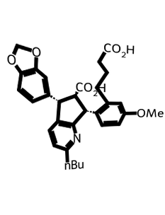 CCCCc1ccc2c(n1)[C@@H](c1ccc(OC)cc1CCCC(=O)O)[C@H](C(=O)O)[C@H]2c1ccc2c(c1)OCO2